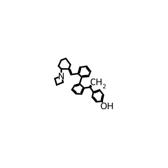 C=C(c1ccc(O)cc1)c1ccccc1-c1ccccc1C=C1CCCCC1N1CCC1